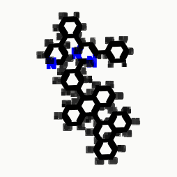 c1ccc(-c2cc(-c3ccccc3-c3ccncc3)nc(-c3cccc(-c4c5ccccc5c(-c5cc6ccccc6c6ccccc56)c5ccccc45)c3)n2)cc1